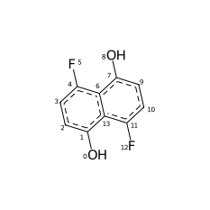 Oc1ccc(F)c2c(O)ccc(F)c12